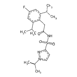 CC(C)c1cc(F)cc(C(C)C)c1CC(=O)NS(=O)(=O)c1ccn(C(C)C)n1